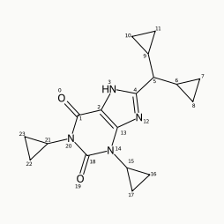 O=c1c2[nH]c(C(C3CC3)C3CC3)nc2n(C2CC2)c(=O)n1C1CC1